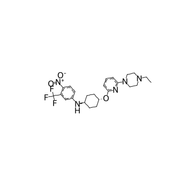 CCN1CCN(c2cccc(O[C@H]3CC[C@H](Nc4ccc([N+](=O)[O-])c(C(F)(F)F)c4)CC3)n2)CC1